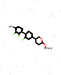 CCCCCOC1CCC(c2ccc(-c3ccc(CCC)c(F)c3F)c(F)c2)CO1